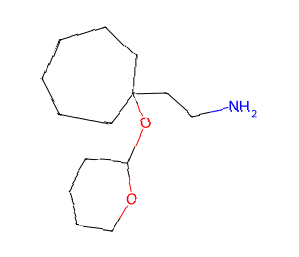 NCCC1(OC2CCCCO2)CCCCCC1